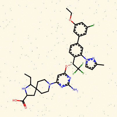 CCOc1cc(F)cc(-c2ccc([C@@H](Oc3cc(N4CCC5(CC4)CC(C(=O)O)NC5CC)nc(N)n3)C(F)(F)F)c(-n3ccc(C)n3)c2)c1